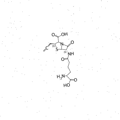 C=C=C[C@@H]1SC2[C@@H](NC(=O)CCCC(N)C(=O)O)C(=O)N2C1C(=O)O